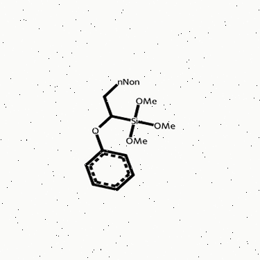 CCCCCCCCCCC(Oc1ccccc1)[Si](OC)(OC)OC